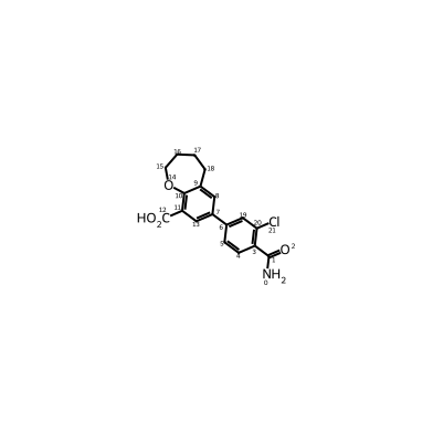 NC(=O)c1ccc(-c2cc3c(c(C(=O)O)c2)OCCCC3)cc1Cl